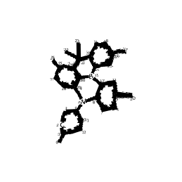 Cc1ccc(N2c3ccc(C)cc3B3c4cc(C)ccc4C(C)(C)c4c(C)ccc2c43)cc1